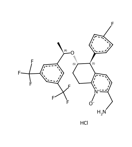 C[C@@H](O[C@H]1CCc2c(ccc(CN)[n+]2[O-])[C@@H]1c1ccc(F)cc1)c1cc(C(F)(F)F)cc(C(F)(F)F)c1.Cl